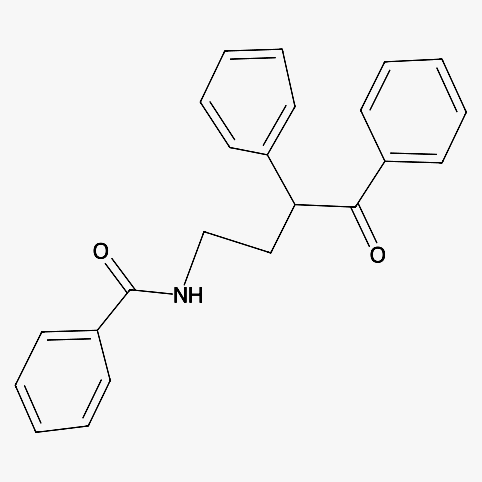 O=C(NCCC(C(=O)c1ccccc1)c1ccccc1)c1ccccc1